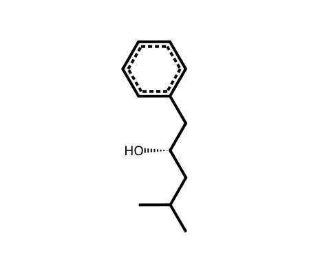 CC(C)C[C@H](O)Cc1ccccc1